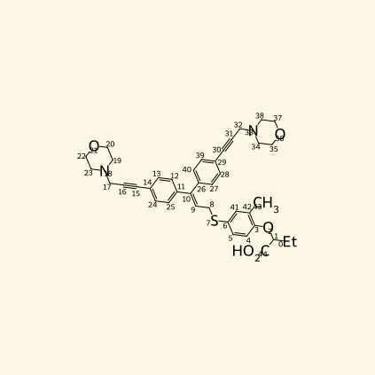 CCC(Oc1ccc(SCC=C(c2ccc(C#CCN3CCOCC3)cc2)c2ccc(C#CCN3CCOCC3)cc2)cc1C)C(=O)O